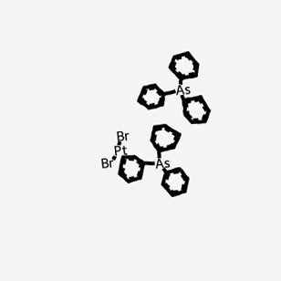 [Br][Pt][Br].c1ccc([As](c2ccccc2)c2ccccc2)cc1.c1ccc([As](c2ccccc2)c2ccccc2)cc1